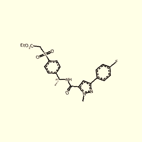 CCOC(=O)CS(=O)(=O)c1ccc([C@@H](C)NC(=O)c2cc(-c3ccc(F)cc3)nn2C)cc1